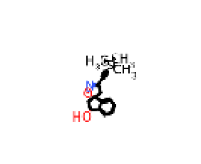 C[Si](C)(C)C#CC1=NOC2(C1)CC(O)c1ccccc12